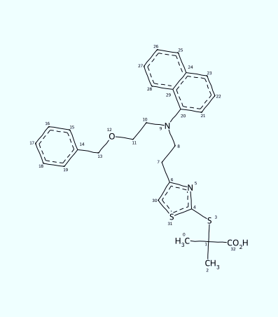 CC(C)(Sc1nc(CCN(CCOCc2ccccc2)c2cccc3ccccc23)cs1)C(=O)O